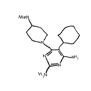 CNC1CCN(c2nc(N)nc(N)c2C2CCCCC2)CC1